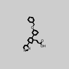 O=C(O)C=Cc1cc(-c2ccncn2)ccc1-c1cccc(OCc2ccccc2)c1